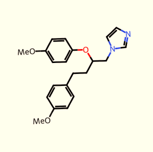 COc1ccc(CCC(Cn2ccnc2)Oc2ccc(OC)cc2)cc1